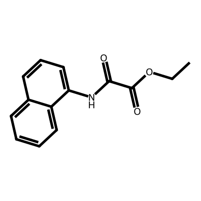 CCOC(=O)C(=O)Nc1cccc2ccccc12